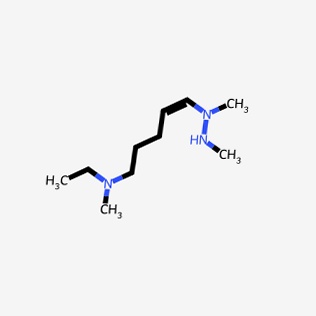 CCN(C)CCC/C=C\N(C)NC